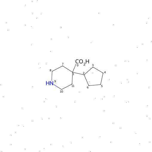 O=C(O)C1(C2CCCC2)CCNCC1